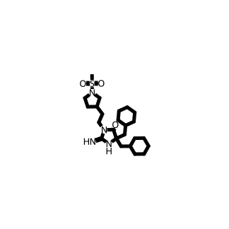 CS(=O)(=O)N1CCC(CCN2C(=N)NC(CC3CCCCC3)(CC3CCCCC3)C2=O)C1